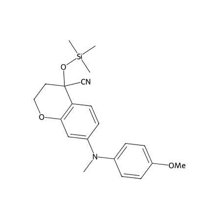 COc1ccc(N(C)c2ccc3c(c2)OCCC3(C#N)O[Si](C)(C)C)cc1